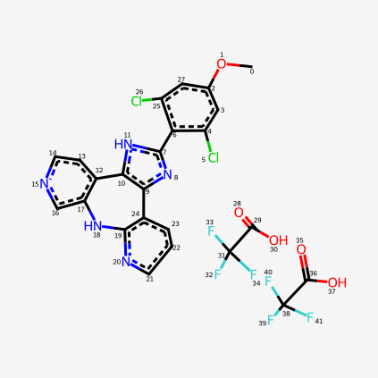 COc1cc(Cl)c(-c2nc3c([nH]2)-c2ccncc2Nc2ncccc2-3)c(Cl)c1.O=C(O)C(F)(F)F.O=C(O)C(F)(F)F